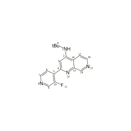 CC(C)(C)Nc1cc(-c2ccncc2F)nc2cnccc12